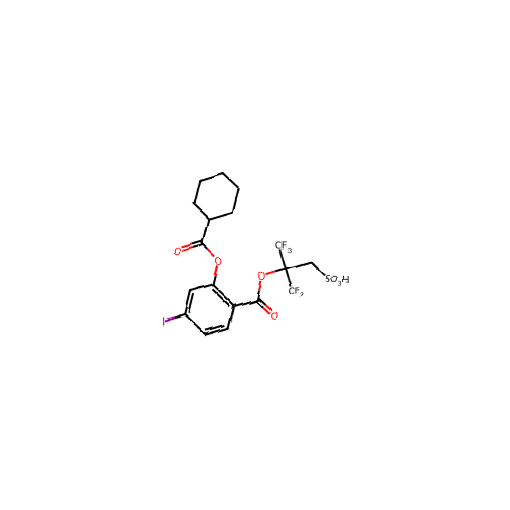 O=C(OC(CS(=O)(=O)O)(C(F)(F)F)C(F)(F)F)c1ccc(I)cc1OC(=O)C1CCCCC1